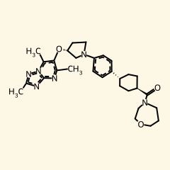 Cc1nc2nc(C)c(O[C@@H]3CCN(c4ccc([C@H]5CC[C@H](C(=O)N6CCCOCC6)CC5)cc4)C3)c(C)n2n1